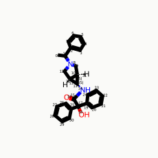 CC(c1ccccc1)N1C[C@@H]2[C@H](C1)[C@H]2NC(=O)C(O)(c1ccccc1)c1ccccc1